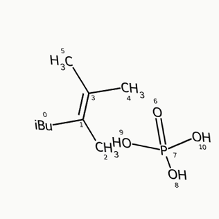 CCC(C)C(C)=C(C)C.O=P(O)(O)O